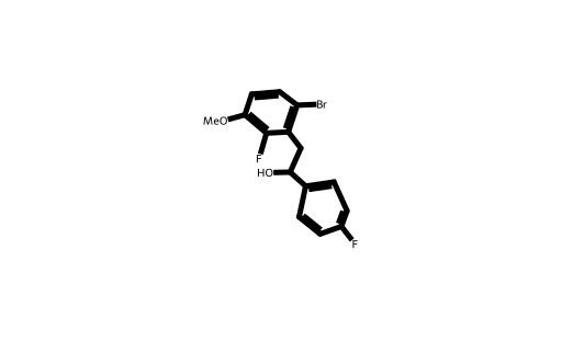 COc1ccc(Br)c(CC(O)c2ccc(F)cc2)c1F